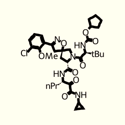 CCC[C@H](NC(=O)[C@@H]1C[C@]2(CC(c3cccc(Cl)c3OC)=NO2)CN1C(=O)[C@@H](NC(=O)OC1CCCC1)C(C)(C)C)C(=O)C(=O)NC1CC1